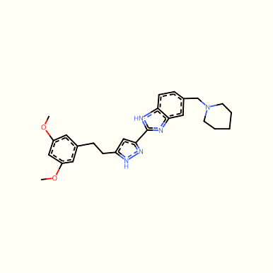 COc1cc(CCc2cc(-c3nc4cc(CN5CCCCC5)ccc4[nH]3)n[nH]2)cc(OC)c1